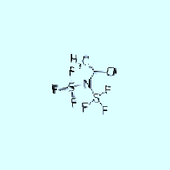 CC(=O)N(S(F)(F)F)S(F)(F)F